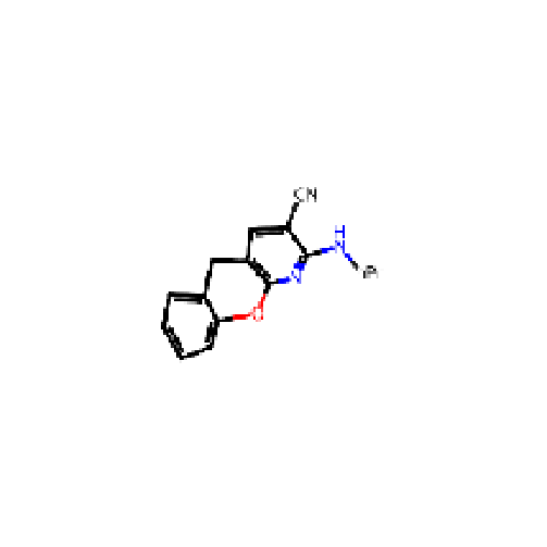 CCCNc1nc2c(cc1C#N)Cc1ccccc1O2